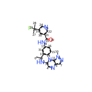 C[C@H](Nc1cnc2cnn(C)c2n1)c1cccc(NC(=O)c2cncc(C(C)(C)F)c2)c1